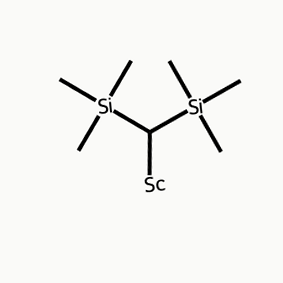 C[Si](C)(C)[CH]([Sc])[Si](C)(C)C